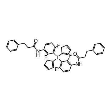 O=C(CCc1ccccc1)Nc1ccc(F)[c]([Ti]([C]2=CC=CC2)([C]2=CC=CC2)[c]2c(F)ccc(NC(=O)CCc3ccccc3)c2F)c1F